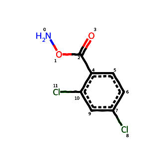 NOC(=O)c1ccc(Cl)cc1Cl